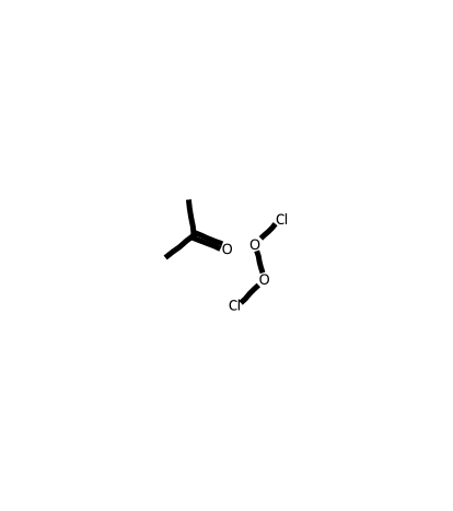 CC(C)=O.ClOOCl